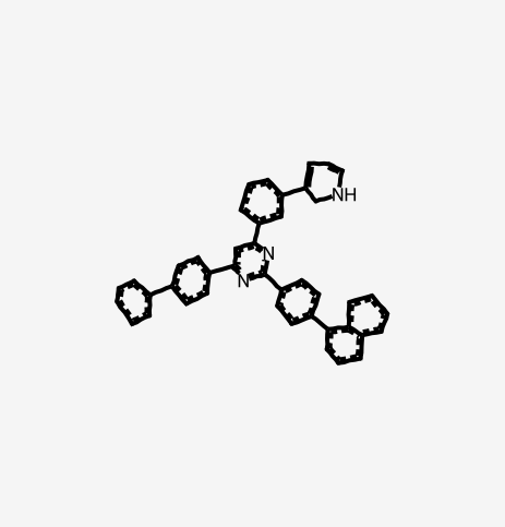 C1=CNCC(c2cccc(-c3cc(-c4ccc(-c5ccccc5)cc4)nc(-c4ccc(-c5cccc6ccccc56)cc4)n3)c2)=C1